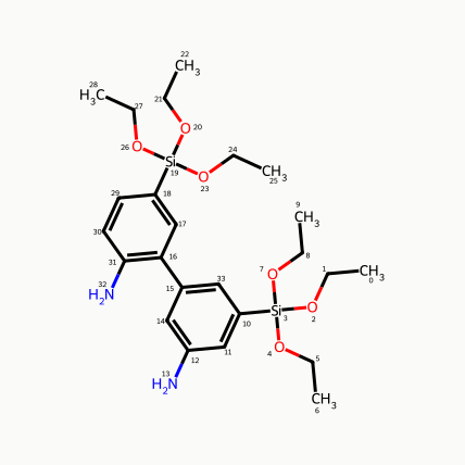 CCO[Si](OCC)(OCC)c1cc(N)cc(-c2cc([Si](OCC)(OCC)OCC)ccc2N)c1